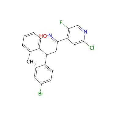 Cc1ccccc1C(C/C(=N\O)c1cc(Cl)ncc1F)c1ccc(Br)cc1